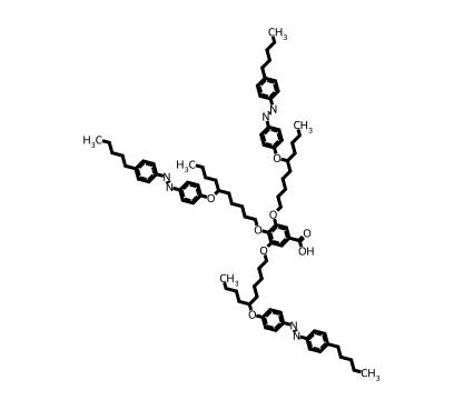 CCCCCc1ccc(N=Nc2ccc(OC(CCCC)CCCCCOc3cc(C(=O)O)cc(OCCCCCC(CCCC)Oc4ccc(N=Nc5ccc(CCCCC)cc5)cc4)c3OCCCCCC(CCCC)Oc3ccc(N=Nc4ccc(CCCCC)cc4)cc3)cc2)cc1